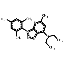 CCN(CC)c1cc(C)nc2c1nnn2-c1c(C)cc(C)cc1C